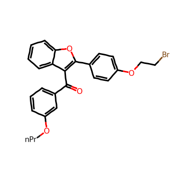 CCCOc1cccc(C(=O)c2c(-c3ccc(OCCBr)cc3)oc3ccccc23)c1